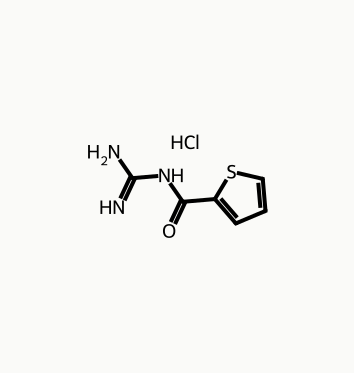 Cl.N=C(N)NC(=O)c1cccs1